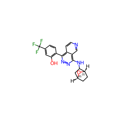 Oc1cc(C(F)(F)F)ccc1-c1nnc(NC2C[C@H]3CC[C@@H]2O3)c2cnccc12